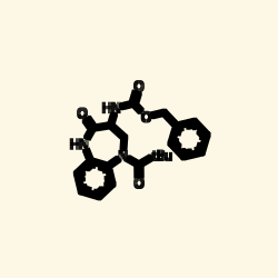 CC(C)(C)C(=O)N1CC(NC(=O)OCc2ccccc2)C(=O)Nc2ccccc21